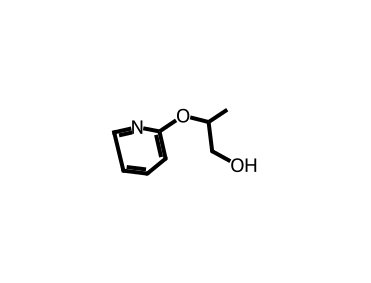 CC(CO)Oc1ccccn1